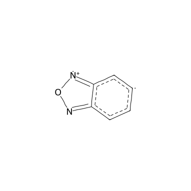 [c]1ccc2c(c1)=[N+]ON=2